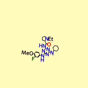 CCN1CCCC1C(=O)Nc1nc(Nc2ccc(OC)c(F)c2)nc(N(C)C2CCCCC2)n1